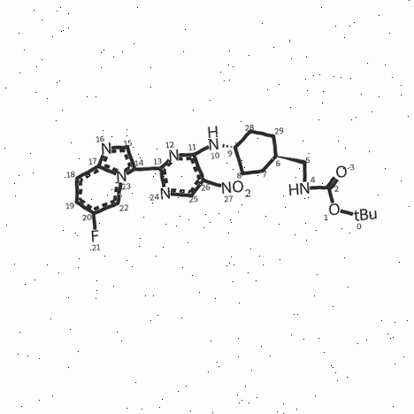 CC(C)(C)OC(=O)NC[C@H]1CC[C@H](Nc2nc(-c3cnc4ccc(F)cn34)ncc2[N+](=O)[O-])CC1